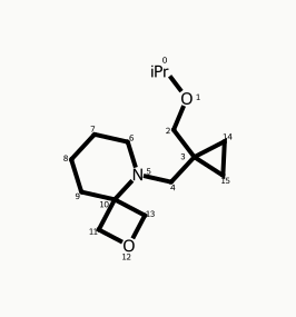 CC(C)OCC1(CN2CCCCC23COC3)CC1